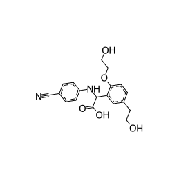 N#Cc1ccc(NC(C(=O)O)c2cc(CCO)ccc2OCCO)cc1